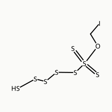 S=S(=S)(OCI)SSSSS